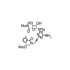 CNC(=O)[C@H]1O[C@@H](n2cnc3c(N)nc(C#CCN(CCOC)C(=O)c4cccs4)nc32)[C@H](O)C1O